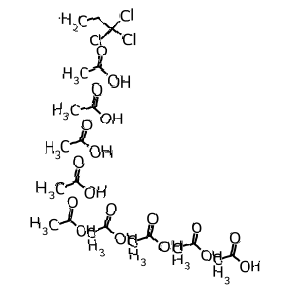 CC(=O)O.CC(=O)O.CC(=O)O.CC(=O)O.CC(=O)O.CC(=O)O.CC(=O)O.CC(=O)O.CC(=O)O.[CH2]CC(Cl)(Cl)Cl